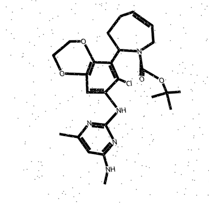 CNc1cc(C)nc(Nc2cc3c(c(C4CCC=CCN4C(=O)OC(C)(C)C)c2Cl)OCCO3)n1